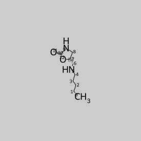 CCCCCNC[C@H]1CNC(=O)O1